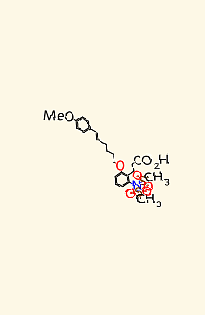 COc1ccc(/C=C/CCCCOc2cccc(N(S(C)(=O)=O)S(C)(=O)=O)c2CCC(=O)O)cc1